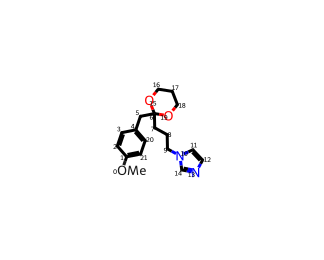 COc1ccc(CC2(CCCn3ccnc3)OCCCO2)cc1